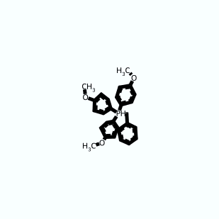 COc1ccc([PH](Cc2ccccc2)(c2ccc(OC)cc2)c2ccc(OC)cc2)cc1